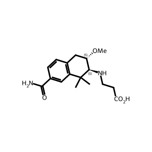 CO[C@H]1Cc2ccc(C(N)=O)cc2C(C)(C)[C@@H]1NCCC(=O)O